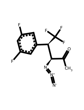 CC(=O)[C@@H](N=[N+]=[N-])[C@@H](c1cc(F)cc(F)c1)C(F)(F)F